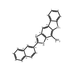 Bc1c2oc3ccccc3c2cc2nc(-c3ccc4ccccc4c3)sc12